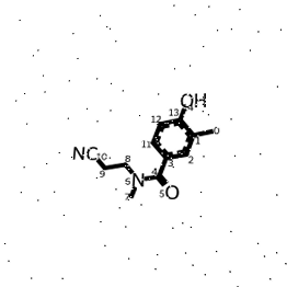 Cc1cc(C(=O)N(C)CCC#N)ccc1O